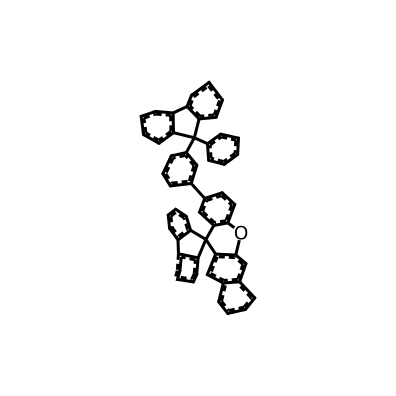 c1ccc(C2(c3cccc(-c4ccc5c(c4)C4(c6cc7ccccc7cc6O5)c5ccccc5-c5ccccc54)c3)c3ccccc3-c3ccccc32)cc1